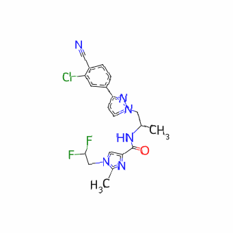 Cc1nc(C(=O)NC(C)Cn2ccc(-c3ccc(C#N)c(Cl)c3)n2)cn1CC(F)F